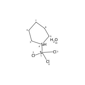 Cl[Si](Cl)(Cl)[SiH]1CCCCC1.O